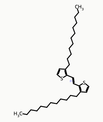 CCCCCCCCCCCCc1ccsc1/C=C/c1sccc1CCCCCCCCCCCC